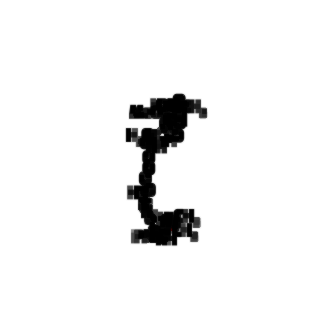 CCCOc1cc(OCCCCN(C)CC(=O)NCCOCCOCCOCCC(=O)NCCN2CCN(c3ccc(-c4cc(NC(C)C)c(C=N)c(C(=O)NCc5c(C)cc(C)[nH]c5=O)c4)cn3)CC2)cc(Oc2cc3c(cc2N[S+]([O-])c2ccc(OC)c(OC)c2)n(C)c(=O)n3C)c1